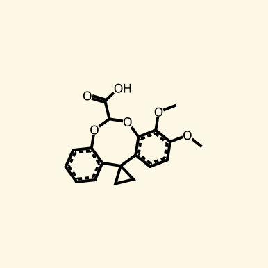 COc1ccc2c(c1OC)OC(C(=O)O)Oc1ccccc1C21CC1